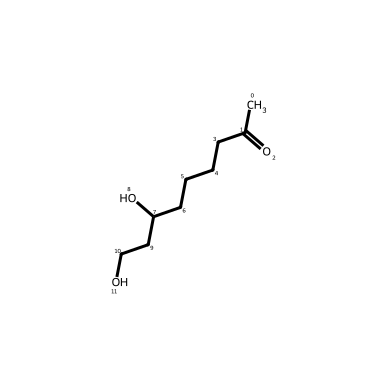 CC(=O)CCCCC(O)CCO